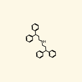 c1ccc(C(CCNCCC(c2ccccc2)c2ccccc2)c2ccccc2)cc1